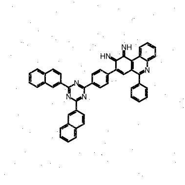 N=C1C(=N)c2c(c(-c3ccccc3)nc3ccccc23)C=C1c1ccc(-c2nc(-c3ccc4ccccc4c3)nc(-c3ccc4ccccc4c3)n2)cc1